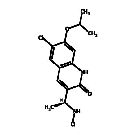 CC(C)Oc1cc2[nH]c(=O)c([C@H](C)NCl)cc2cc1Cl